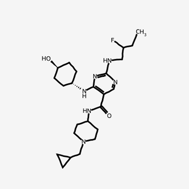 CCC(F)CNc1ncc(C(=O)NC2CCN(CC3CC3)CC2)c(N[C@H]2CC[C@H](O)CC2)n1